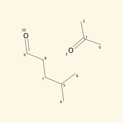 CC(C)=O.CC(C)CCC=O